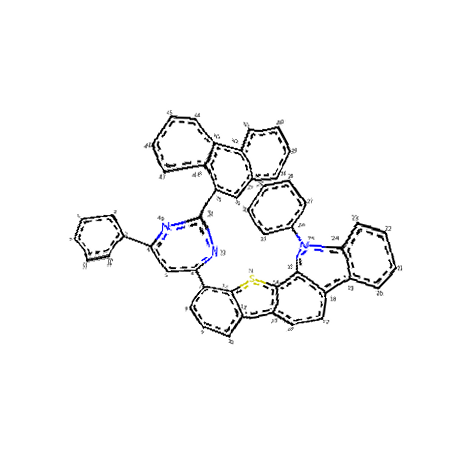 c1ccc(-c2cc(-c3cccc4c3sc3c4ccc4c5ccccc5n(-c5ccccc5)c43)nc(-c3cc4ccccc4c4ccccc34)n2)cc1